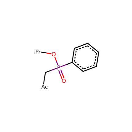 CC(=O)CP(=O)(OC(C)C)c1ccccc1